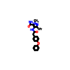 CCCc1nn(C)c(C(N)=O)c1NC(=O)Cc1ccc(Oc2ccccc2)cc1